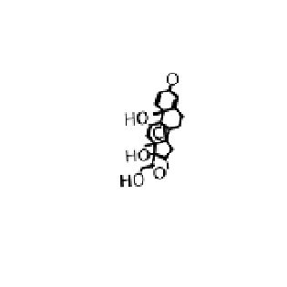 C[C@@H]1CC2C3CCC4=CC(=O)C=CC4(C)[C@@]3(Cl)[C@@H](O)CC2(C)[C@@]1(O)C(=O)CO